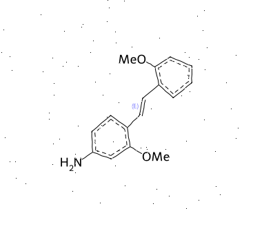 COc1ccccc1/C=C/c1ccc(N)cc1OC